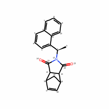 C[C@H](c1cccc2ccccc12)N1C(=O)C2C3C=CC(C3)C2C1=O